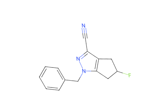 N#Cc1nn(Cc2ccccc2)c2c1CC(F)C2